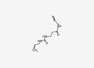 C=CCNC(=O)NCCC(=O)N1CC1C#N